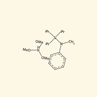 CC(C)[Si](C(C)C)(C(C)C)N(C)c1ccccc1.CO[SiH](OC)OC